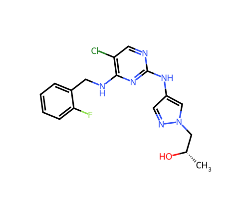 C[C@H](O)Cn1cc(Nc2ncc(Cl)c(NCc3ccccc3F)n2)cn1